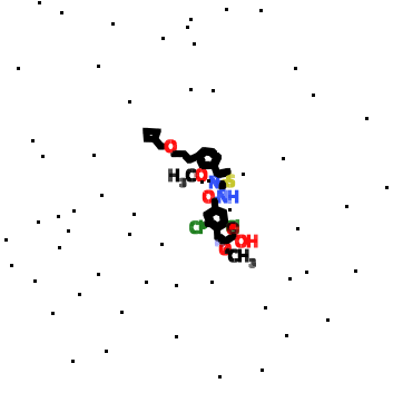 CO/C(=C/c1c(Cl)cc(C(=O)Nc2nc(-c3cccc(CCCOCC4CCC4)c3OC)cs2)cc1Cl)C(=O)O